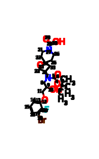 CC(C)(C)OC(=O)N(CC(O)COc1cccc(Br)c1F)C1COC2(CCN(C(=O)O)CC2)C1